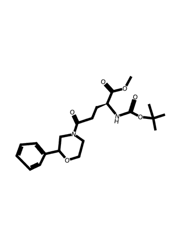 COC(=O)[C@H](CCC(=O)N1CCOC(c2ccccc2)C1)NC(=O)OC(C)(C)C